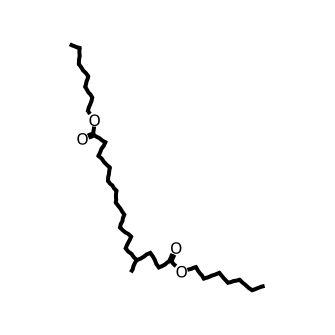 CCCCCCCOC(=O)CCCCCCCCCCC(C)CCC(=O)OCCCCCCC